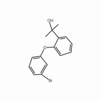 CC(C)(O)c1ccccc1Oc1cccc(Br)c1